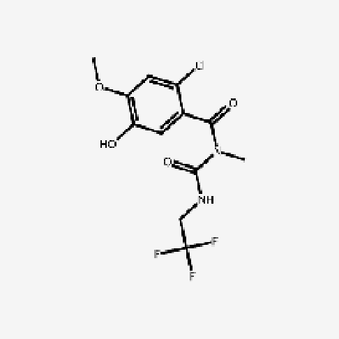 COc1cc(Cl)c(C(=O)N(C)C(=O)NCC(F)(F)F)cc1O